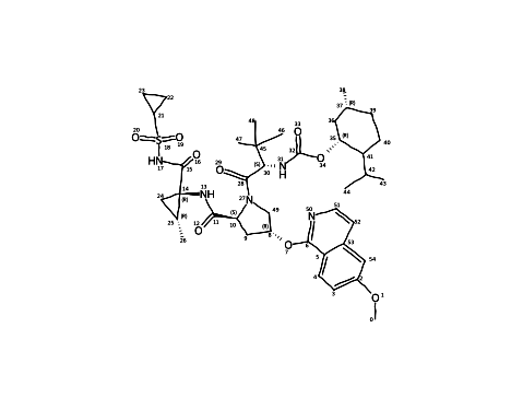 COc1ccc2c(O[C@@H]3C[C@@H](C(=O)N[C@]4(C(=O)NS(=O)(=O)C5CC5)C[C@H]4C)N(C(=O)[C@@H](NC(=O)O[C@@H]4C[C@H](C)CCC4C(C)C)C(C)(C)C)C3)nccc2c1